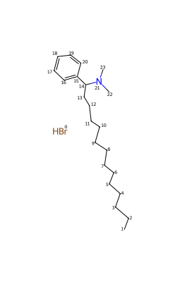 Br.CCCCCCCCCCCCCC(c1ccccc1)N(C)C